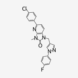 Cn1c(=O)n(Cc2cnn(-c3ccc(F)cc3)c2)c2ccc(-c3ccc(Cl)cc3)nc21